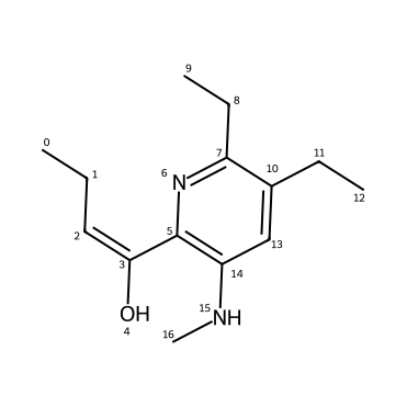 CC/C=C(/O)c1nc(CC)c(CC)cc1NC